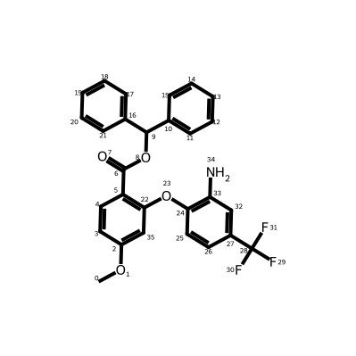 COc1ccc(C(=O)OC(c2ccccc2)c2ccccc2)c(Oc2ccc(C(F)(F)F)cc2N)c1